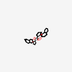 C1=C[CH]([Zr]([O]c2ccc3ccccc3c2)([O]c2ccc3ccccc3c2)[CH]2C=CC=C2)C=C1